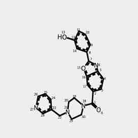 O=C(c1ccc2nc(-c3cccc(O)c3)oc2c1)N1CCN(Cc2cccnc2)CC1